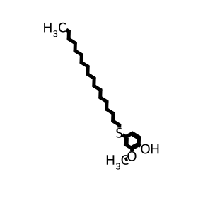 CCCCCCCCCCCCCCCCCCSc1ccc(O)c(OC)c1